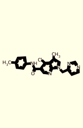 Cc1ccc(NC(=O)c2cnc3c(c(C)cn3Cc3ccncn3)c2Cl)cc1